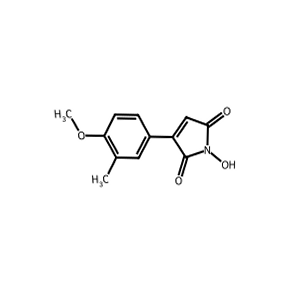 COc1ccc(C2=CC(=O)N(O)C2=O)cc1C